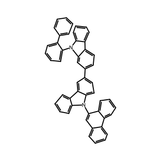 c1ccc(-c2ccccc2-n2c3ccccc3c3ccc(-c4ccc5c(c4)c4ccccc4n5-c4cc5ccccc5c5ccccc45)cc32)cc1